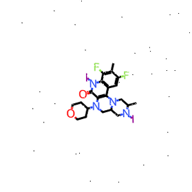 Cc1c(F)cc2c3c(c(=O)n(I)c2c1F)N(C1CCOCC1)CC1CN(I)C(C)CN31